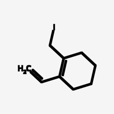 C=CC1=C(CI)CCCC1